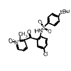 Cc1c(C(=O)c2cc(Cl)ccc2NS(=O)(=O)c2ccc(C(C)(C)C)cc2)ccc[n+]1[O-]